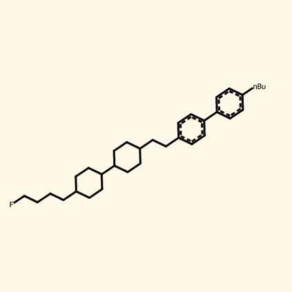 CCCCc1ccc(-c2ccc(CCC3CCC(C4CCC(CCCCF)CC4)CC3)cc2)cc1